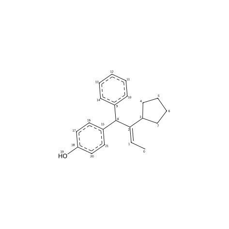 C/C=C(\C1CCCC1)C(c1ccccc1)c1ccc(O)cc1